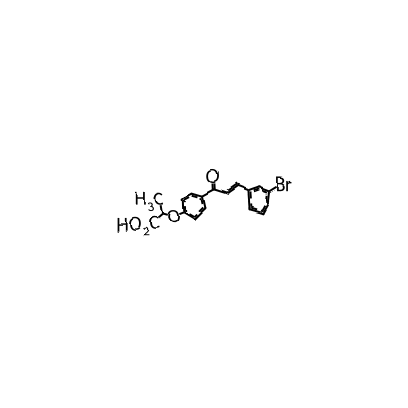 CC(Oc1ccc(C(=O)C=Cc2cccc(Br)c2)cc1)C(=O)O